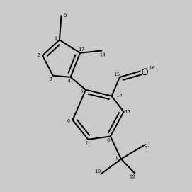 CC1=CCC(c2ccc(C(C)(C)C)cc2C=O)=C1C